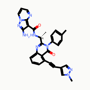 Cc1ccc(-n2c([C@@H](C)NC(=O)c3c(N)nn4cccnc34)nc3cccc(C#Cc4cnn(C)c4)c3c2=O)cc1